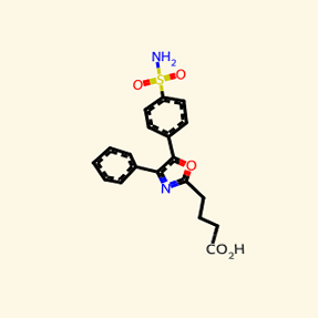 NS(=O)(=O)c1ccc(-c2oc(CCCC(=O)O)nc2-c2ccccc2)cc1